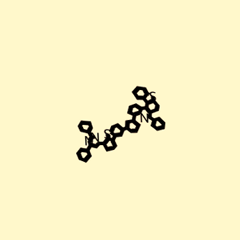 c1ccc(-c2cc(-c3cccc4c3sc3ccc(-c5cccc(-c6cccc7c6nc(-c6ccccc6)c6ccc8sc9ccccc9c8c67)c5)cc34)nc(-c3ccccc3)n2)cc1